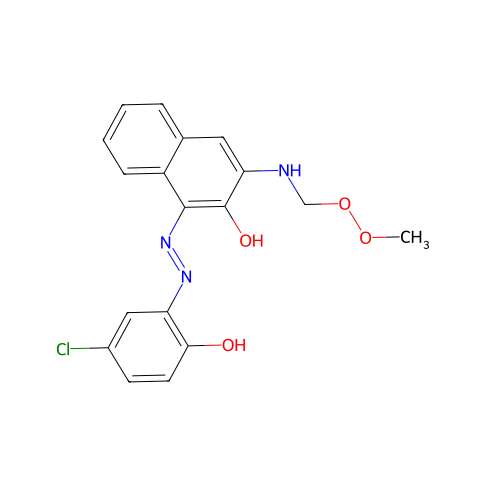 COOCNc1cc2ccccc2c(N=Nc2cc(Cl)ccc2O)c1O